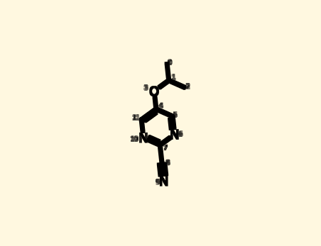 CC(C)Oc1cnc(C#N)nc1